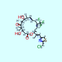 C/C(=C\c1csc(CCl)n1)C1C/C=C(/C(F)(F)F)C/C=C/C(C)[C@H](O)[C@@H](C)C(=O)C(C)(C)[C@@H](O)CC(=O)O1